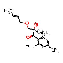 C/C=C/COCC(C)(O)C(=O)c1c(C)cc(C)cc1C